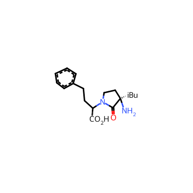 CC[C@@H](C)C1(N)CCN(C(CCc2ccccc2)C(=O)O)C1=O